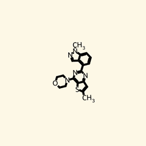 Cc1cc2nc(-c3cccc4c3cnn4C)nc(N3CCOCC3)c2s1